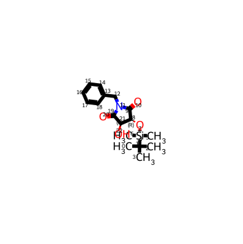 CC(C)(C)[Si](C)(C)O[C@H]1C(=O)N(Cc2ccccc2)C(=O)[C@@H]1O